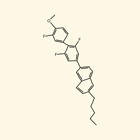 CCCCCc1ccc2cc(-c3cc(F)c(-c4ccc(OC)c(F)c4)c(F)c3)ccc2c1